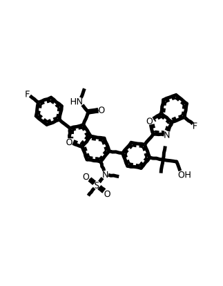 CNC(=O)c1c(-c2ccc(F)cc2)oc2cc(N(C)S(C)(=O)=O)c(-c3ccc(C(C)(C)CO)c(-c4nc5c(F)cccc5o4)c3)cc12